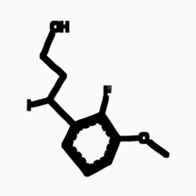 COc1cccc(C(I)CCO)c1F